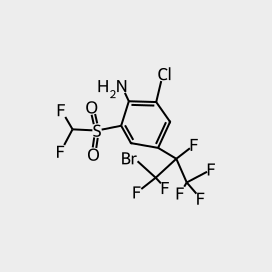 Nc1c(Cl)cc(C(F)(C(F)(F)F)C(F)(F)Br)cc1S(=O)(=O)C(F)F